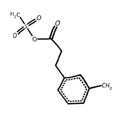 Cc1cccc(CCC(=O)OS(C)(=O)=O)c1